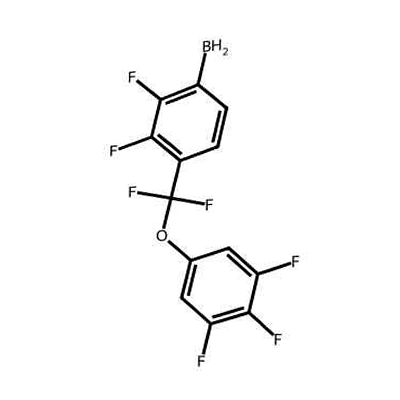 Bc1ccc(C(F)(F)Oc2cc(F)c(F)c(F)c2)c(F)c1F